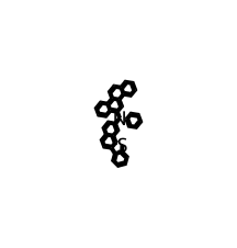 c1ccc(N(c2ccc3ccc4c5ccccc5sc4c3c2)c2cc3c4ccccc4ccc3c3ccccc23)cc1